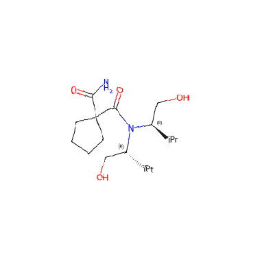 CC(C)[C@H](CO)N(C(=O)C1(C(N)=O)CCCC1)[C@@H](CO)C(C)C